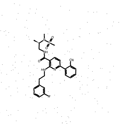 C[C@H](CNC(=O)c1ccc(-c2ccccc2C#N)nc1NCCc1cccc(F)c1)N(C)S(C)(=O)=O